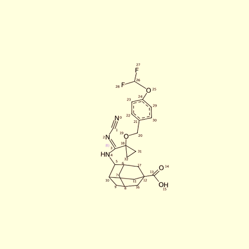 N#C/N=C(/NC1C2CC3CC1CC(C(=O)O)(C3)C2)C1(OCc2ccc(OC(F)F)cc2)CC1